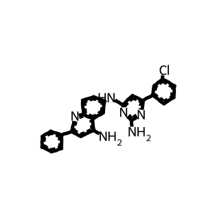 Nc1nc(Nc2ccc3nc(-c4ccccc4)cc(N)c3c2)cc(-c2cccc(Cl)c2)n1